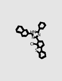 Clc1c(C2=NC(c3ccccc3)NC(c3ccc4ccccc4c3)=N2)ccc2c1sc1ccccc12